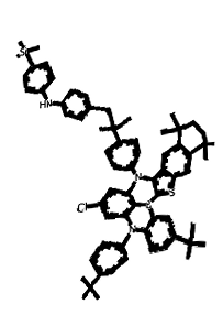 CC(C)(C)c1ccc(N2c3ccc(C(C)(C)C)cc3B3c4sc5cc6c(cc5c4N(c4ccc(C(C)(C)Cc5ccc(Nc7ccc([Si](C)(C)C)cc7)cc5)cc4)c4cc(Cl)cc2c43)C(C)(C)CCC6(C)C)cc1